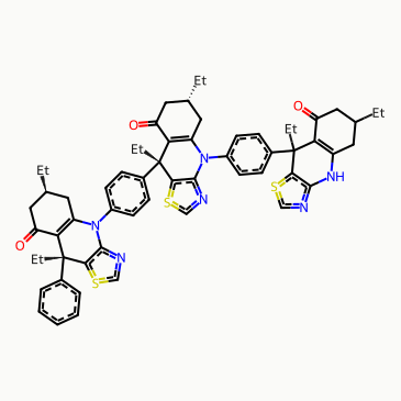 CCC1CC(=O)C2=C(C1)Nc1ncsc1C2(CC)c1ccc(N2C3=C(C(=O)C[C@H](CC)C3)[C@@](CC)(c3ccc(N4C5=C(C(=O)C[C@@H](CC)C5)[C@@](CC)(c5ccccc5)c5scnc54)cc3)c3scnc32)cc1